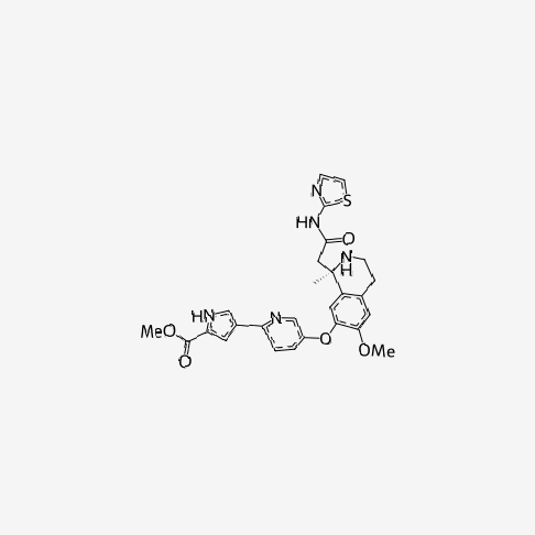 COC(=O)c1cc(-c2ccc(Oc3cc4c(cc3OC)CCN[C@]4(C)CC(=O)Nc3nccs3)cn2)c[nH]1